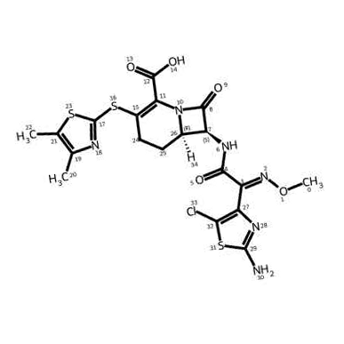 CON=C(C(=O)N[C@@H]1C(=O)N2C(C(=O)O)=C(Sc3nc(C)c(C)s3)CC[C@H]12)c1nc(N)sc1Cl